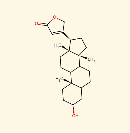 C[C@]12CC[C@H](O)CC1CCC1C2CC[C@]2(C)[C@@H](C3=CC(=O)OC3)CC[C@]12C